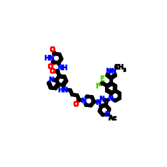 CC(=O)N1CCc2c(c(N3CCCc4cc(-c5cnn(C)c5)c(C(F)F)cc43)nn2C2CCN(C(=O)CCCNc3ccc(C(=O)NC4CCC(=O)NC4=O)c4ncccc34)CC2)C1